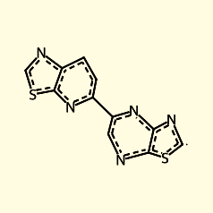 [c]1nc2nc(-c3ccc4ncsc4n3)cnc2s1